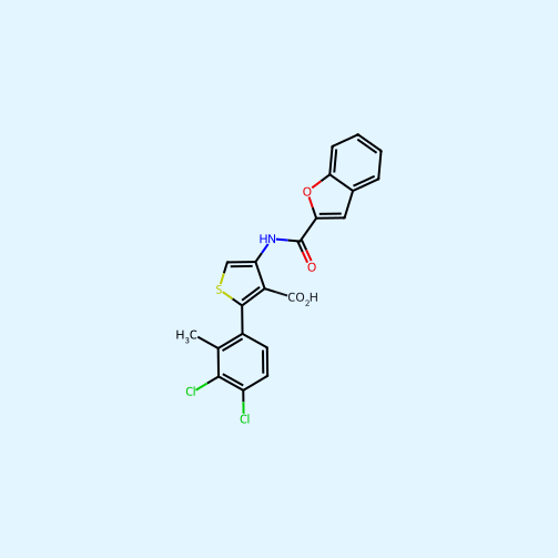 Cc1c(-c2scc(NC(=O)c3cc4ccccc4o3)c2C(=O)O)ccc(Cl)c1Cl